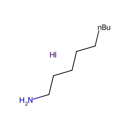 CCCCCCCCCN.I